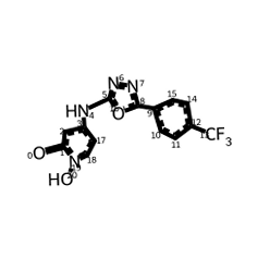 O=c1cc(Nc2nnc(-c3ccc(C(F)(F)F)cc3)o2)ccn1O